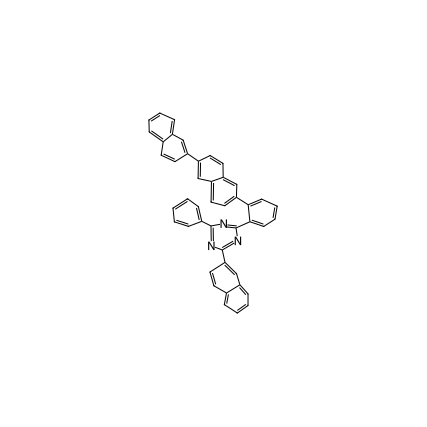 c1ccc(-c2nc(-c3ccc4ccccc4c3)nc(-c3ccccc3-c3ccc4cc(-c5ccc6ccccc6c5)ccc4c3)n2)cc1